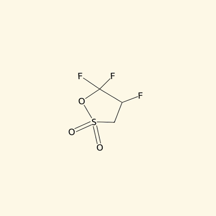 O=S1(=O)CC(F)C(F)(F)O1